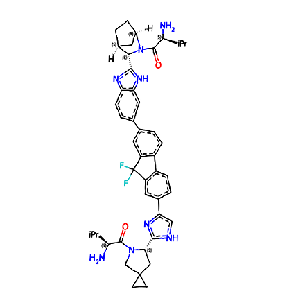 CC(C)[C@H](N)C(=O)N1CC2(CC2)C[C@H]1c1nc(-c2ccc3c(c2)C(F)(F)c2cc(-c4ccc5nc([C@@H]6[C@H]7CC[C@H](C7)N6C(=O)[C@@H](N)C(C)C)[nH]c5c4)ccc2-3)c[nH]1